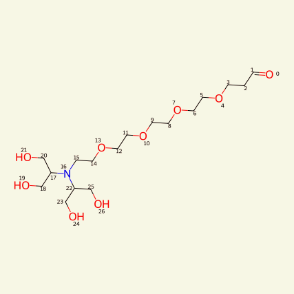 O=CCCOCCOCCOCCOCCN(C(CO)CO)C(CO)CO